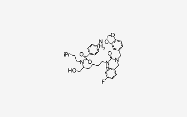 CC(C)CCN(C(CO)CCCCNC(=O)N(Cc1ccc(F)cc1)Cc1ccc2c(c1)OCO2)S(=O)(=O)c1ccc(N)cc1